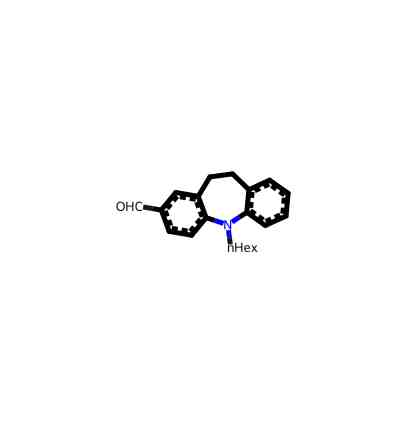 CCCCCCN1c2ccccc2CCc2cc(C=O)ccc21